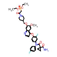 CCOP(=O)(CC(=O)N1CCC(COc2cc3nccc(Oc4ccc(N(C(=O)C5(C(N)=O)CC5)c5ccc(F)cc5)cc4F)c3cc2OC)CC1)OCC